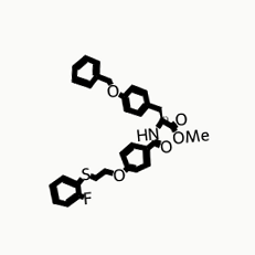 COC(=O)[C@H](Cc1ccc(OCc2ccccc2)cc1)NC(=O)c1ccc(OCCSc2ccccc2F)cc1